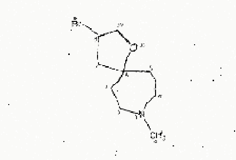 CN1CCC2(CC1)CC(Br)CO2